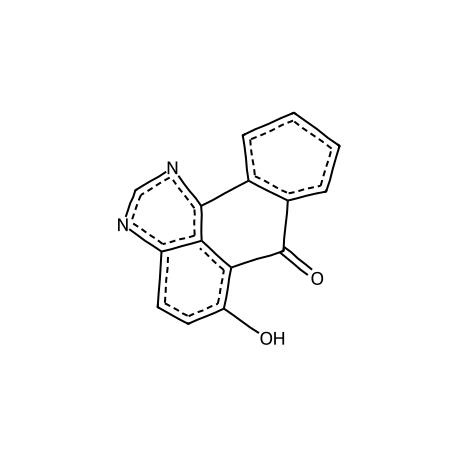 O=C1c2ccccc2-c2ncnc3ccc(O)c1c23